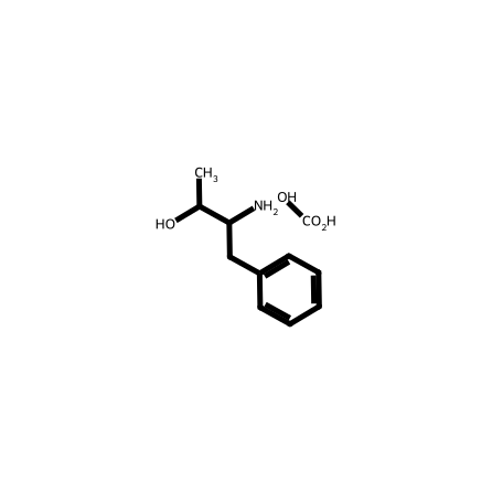 CC(O)C(N)Cc1ccccc1.O=C(O)O